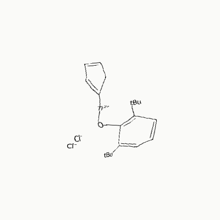 CC(C)(C)c1cccc(C(C)(C)C)c1[O][Ti+2][C]1=CC=CC1.[Cl-].[Cl-]